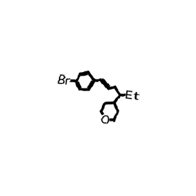 CC[C](CC=Cc1ccc(Br)cc1)C1CCOCC1